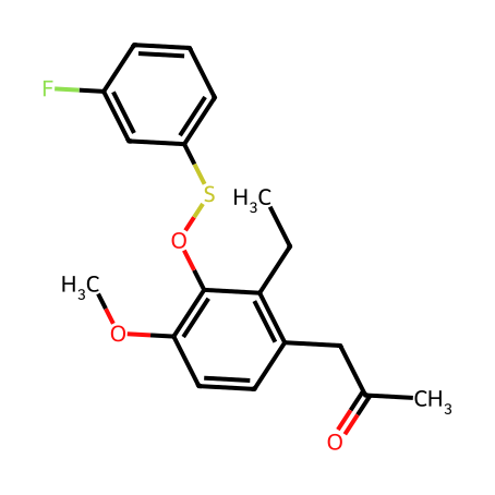 CCc1c(CC(C)=O)ccc(OC)c1OSc1cccc(F)c1